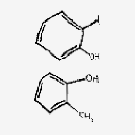 Cc1ccccc1O.Oc1ccccc1I